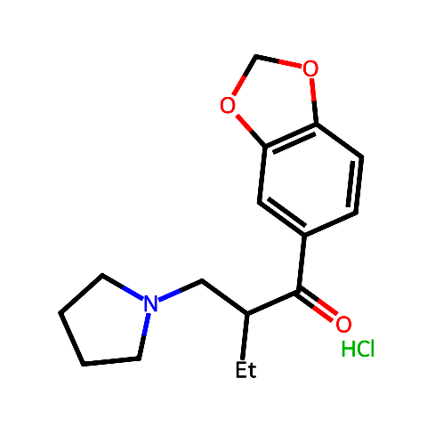 CCC(CN1CCCC1)C(=O)c1ccc2c(c1)OCO2.Cl